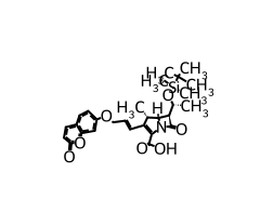 C[C@@H](O[Si](C)(C)C(C)(C)C)[C@H]1C(=O)N2C(C(=O)O)=C(/C=C/COc3ccc4ccc(=O)oc4c3)[C@H](C)[C@H]12